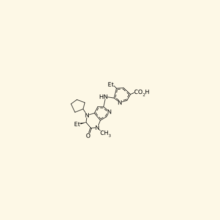 CCc1cc(C(=O)O)cnc1Nc1cc2c(cn1)N(C)C(=O)[C@@H](CC)N2C1CCCC1